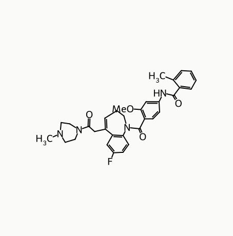 COc1cc(NC(=O)c2ccccc2C)ccc1C(=O)N1CCC=C(CC(=O)N2CCN(C)CC2)c2cc(F)ccc21